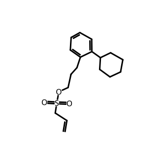 C=CCS(=O)(=O)OCCCc1ccccc1C1CCCCC1